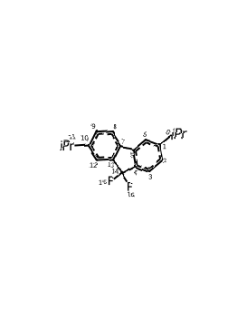 CC(C)c1ccc2c(c1)-c1ccc(C(C)C)cc1C2(F)F